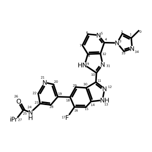 Cc1cn(-c2nccc3[nH]c(-c4n[nH]c5cc(F)c(-c6cncc(NC(=O)C(C)C)c6)cc45)nc23)cn1